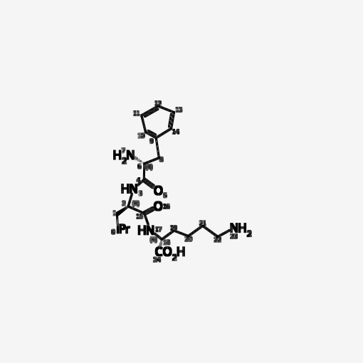 CC(C)C[C@@H](NC(=O)[C@H](N)Cc1ccccc1)C(=O)N[C@H](CCCCN)C(=O)O